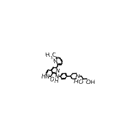 Cc1cccc(-c2cc3cc[nH]c(=O)c3c(Nc3ccc(C4CCN(CC(O)CO)CC4)cc3)n2)n1